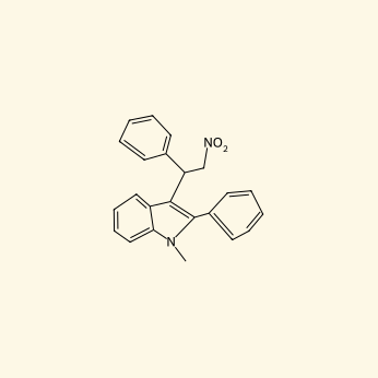 Cn1c(-c2ccccc2)c(C(C[N+](=O)[O-])c2ccccc2)c2ccccc21